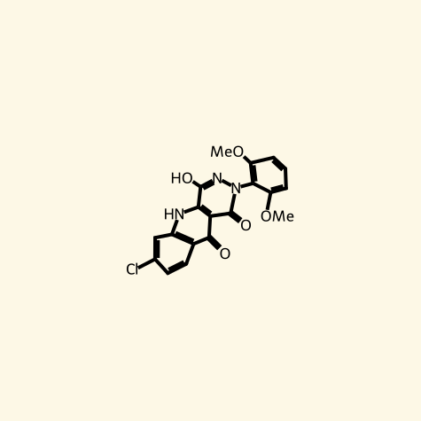 COc1cccc(OC)c1-n1nc(O)c2[nH]c3cc(Cl)ccc3c(=O)c2c1=O